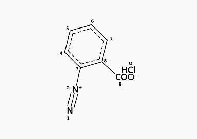 Cl.N#[N+]c1ccccc1C(=O)[O-]